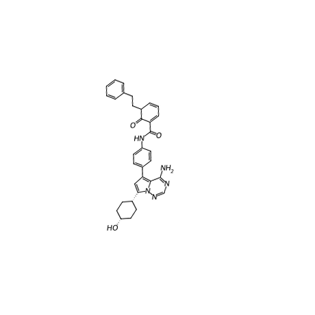 Nc1ncnn2c1c(-c1ccc(NC(=O)C3=CC=CC(CCc4ccccc4)C3=O)cc1)cc2[C@H]1CC[C@@H](O)CC1